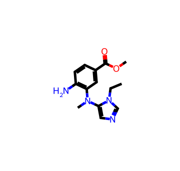 CCn1cncc1N(C)c1cc(C(=O)OC)ccc1N